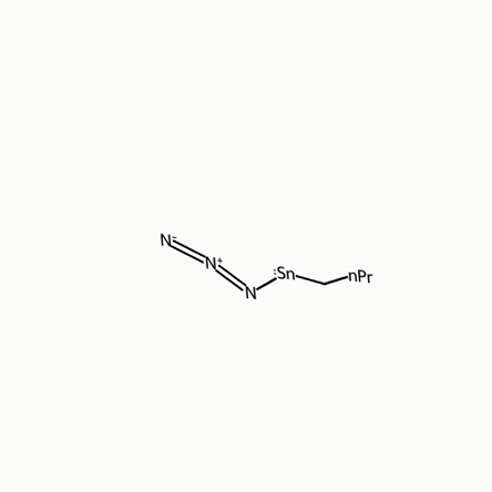 CCC[CH2][Sn][N]=[N+]=[N-]